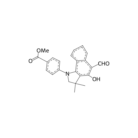 COC(=O)c1ccc(N2CC(C)(C)c3c(O)c(C=O)c4ccccc4c32)cc1